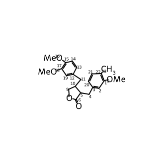 COc1cc(CC2C(=O)OCC2Cc2ccc(OC)c(OC)c2)ccc1C